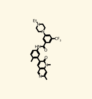 CCN1CCN(c2cc(C(=O)Nc3ccc(C)c(-c4cc5cnc(C)cc5n(C)c4=O)c3)cc(C(F)(F)F)c2)CC1